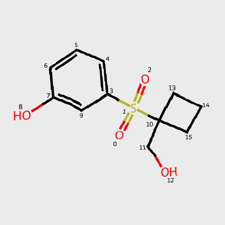 O=S(=O)(c1cccc(O)c1)C1(CO)CCC1